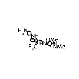 CNC(=O)c1ccc(NCC#Cc2cc3c(N[C@H]4CC[C@H](N)CC4)cccc3n2CC(F)(F)F)c(OC)c1